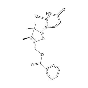 C[C@@H]1[C@@H](COC(=O)c2ccccc2)O[C@@H](n2ccc(=O)[nH]c2=O)C1(C)C